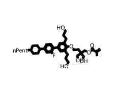 C=C(C)C(=O)OCC(CO)(CO)CCOc1c(CCCO)cc(-c2ccc(C3CCC(CCCCC)CC3)cc2F)cc1CCCO